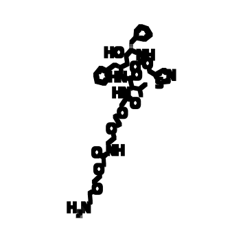 CC(C)[C@H](NC(=O)COCCOCCNC(=O)COCCOCCN)C(=O)N[C@@H](Cc1ccccc1)C[C@H](O)[C@H](Cc1ccccc1)NC(=O)OCc1cncs1